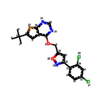 CC(C)(C)c1cc2c(OCc3cc(-c4ccc(Cl)cc4Cl)no3)ncnc2s1